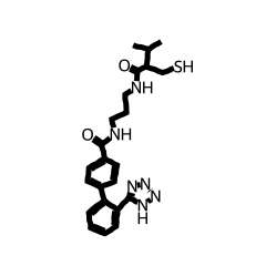 CC(C)C(CS)C(=O)NCCCNC(=O)c1ccc(-c2ccccc2-c2nnn[nH]2)cc1